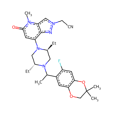 CC[C@H]1CN(C(C)c2cc3c(cc2F)OC(C)(C)CO3)[C@H](CC)CN1c1cc(=O)n(C)c2cn(CC#N)nc12